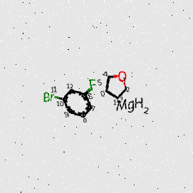 C1CCOC1.Fc1cccc(Br)c1.[MgH2]